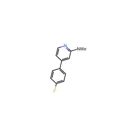 CNc1cc(-c2ccc(F)cc2)ccn1